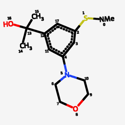 CNSc1cc(N2CCOCC2)cc(C(C)(C)O)c1